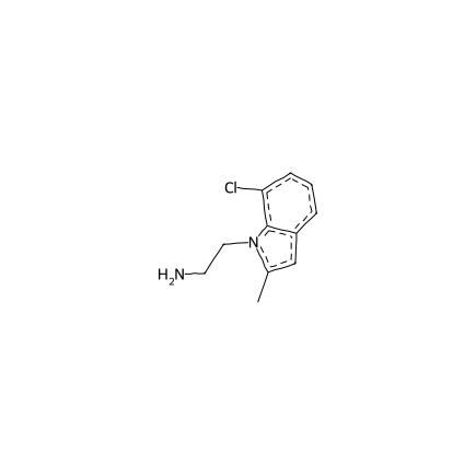 Cc1cc2cccc(Cl)c2n1CCN